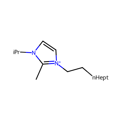 CCCCCCCCC[n+]1ccn(C(C)C)c1C